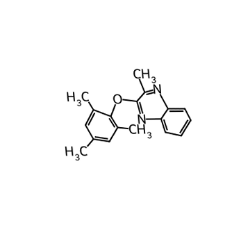 Cc1cc(C)c(Oc2nc3ccccc3nc2C)c(C)c1